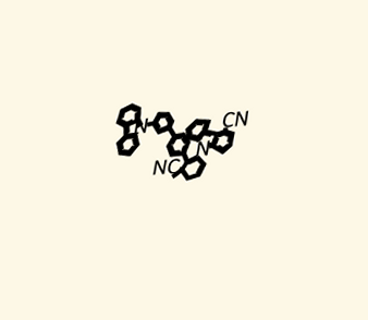 CC1(C#N)CC=CC(n2c3ccccc3c3c(C#N)cccc32)=C1c1ccc(-c2cccc(-n3c4ccccc4c4ccccc43)c2)cc1